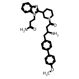 COc1ccc(-c2ccc(CC(N)CC(=O)N3CCCC(c4nc5ccccc5n4CCC(N)=O)C3)cc2)cc1